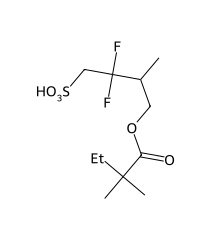 CCC(C)(C)C(=O)OCC(C)C(F)(F)CS(=O)(=O)O